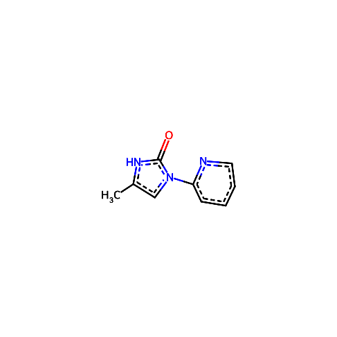 Cc1cn(-c2ccccn2)c(=O)[nH]1